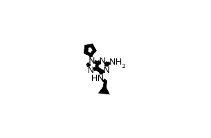 Nc1nc(NCC2CC2)c2ncn(C3C=CCC3)c2n1